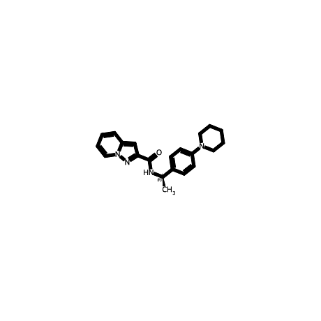 C[C@@H](NC(=O)c1cc2ccccn2n1)c1ccc(N2CCCCC2)cc1